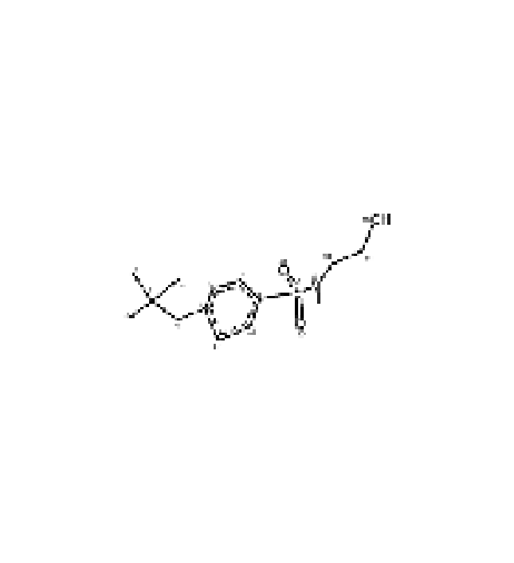 CC(C)(C)Cc1ccc(S(=O)(=O)NCCO)cc1